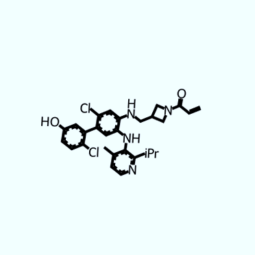 C=CC(=O)N1CC(CNc2cc(Cl)c(-c3cc(O)ccc3Cl)cc2Nc2c(C)ccnc2C(C)C)C1